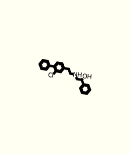 OC(CNCCc1ccc(-c2ccccc2)c(Cl)c1)c1ccccc1